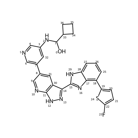 OC(Nc1cncc(-c2cnc3[nH]nc(-c4nc5c(-c6ccc(F)s6)cccc5[nH]4)c3c2)c1)C1CCC1